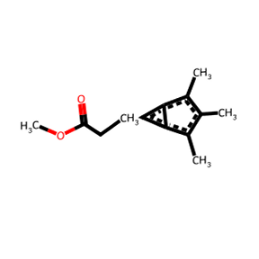 CCC(=O)OC.Cc1c2cc-2c(C)c1C